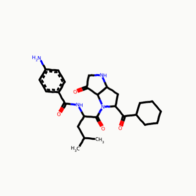 CC(C)CC(NC(=O)c1ccc(N)cc1)C(=O)N1C(C(=O)C2CCCCC2)CC2NCC(=O)C21